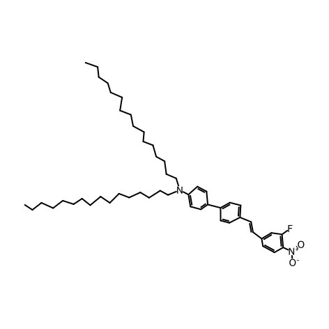 CCCCCCCCCCCCCCCCN(CCCCCCCCCCCCCCCC)c1ccc(-c2ccc(/C=C/c3ccc([N+](=O)[O-])c(F)c3)cc2)cc1